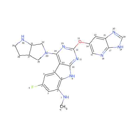 CNc1cc(F)cc2c1[nH]c1nc(Oc3cnc4[nH]cnc4c3)nc(N3CC4CCNC4C3)c12